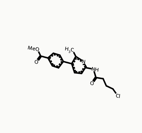 COC(=O)c1ccc(-c2ccc(NC(=O)CCCCl)nc2C)cc1